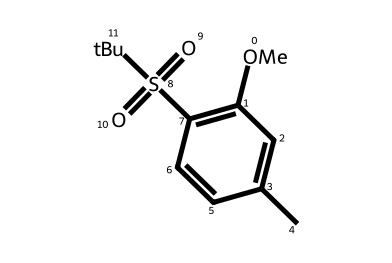 COc1cc(C)ccc1S(=O)(=O)C(C)(C)C